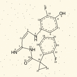 N=C(/C=C\Nc1ccc(O)c(F)c1)NC(=O)C1(c2ccccc2F)CC1